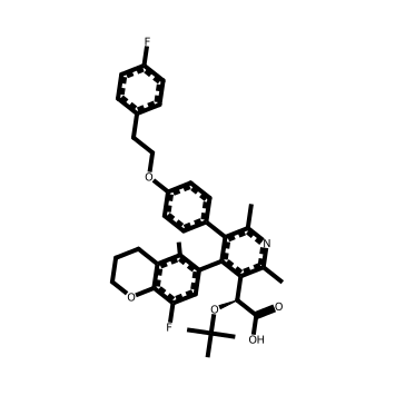 Cc1nc(C)c([C@H](OC(C)(C)C)C(=O)O)c(-c2cc(F)c3c(c2C)CCCO3)c1-c1ccc(OCCc2ccc(F)cc2)cc1